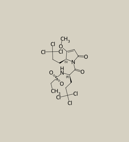 CCS(=O)(=O)N[C@H](CCC(Cl)(Cl)Cl)C(=O)N1C(=O)C=C(OC)[C@@H]1CCC(Cl)(Cl)Cl